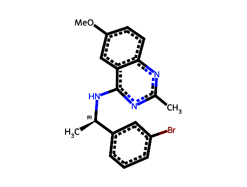 COc1ccc2nc(C)nc(N[C@H](C)c3cccc(Br)c3)c2c1